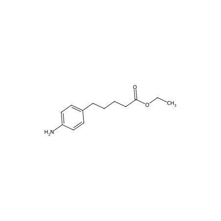 CCOC(=O)CCCCc1ccc(N)cc1